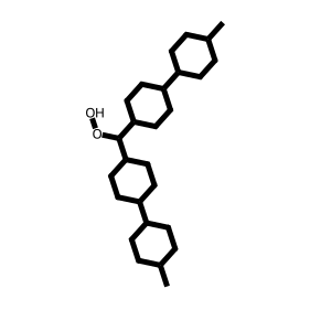 CC1CCC(C2CCC(C(OO)C3CCC(C4CCC(C)CC4)CC3)CC2)CC1